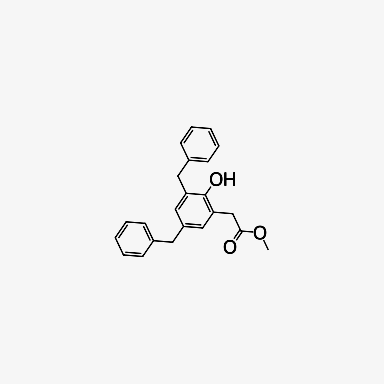 COC(=O)Cc1cc(Cc2ccccc2)cc(Cc2ccccc2)c1O